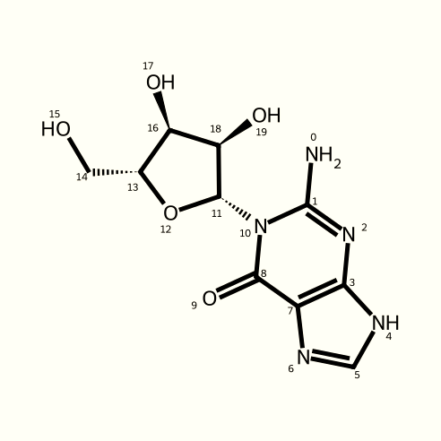 Nc1nc2[nH]cnc2c(=O)n1[C@@H]1O[C@H](CO)[C@@H](O)[C@H]1O